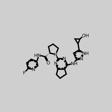 O=C(Nc1ccc(F)nc1)[C@@H]1CCCN1c1nc2c(c(Nc3cc(C4CC4O)[nH]n3)n1)CCC2